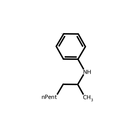 CCCCCCC(C)Nc1cc[c]cc1